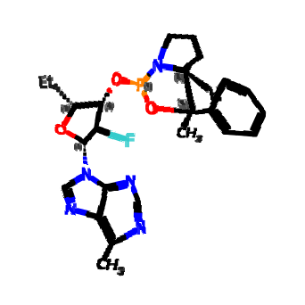 CC[C@H]1O[C@@H](n2cnc3c(C)ncnc32)C(F)[C@H]1O[P@]1O[C@@](C)(c2ccccc2)[C@H]2CCCN21